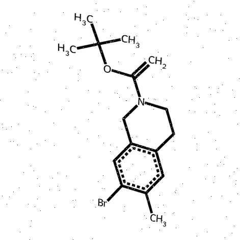 C=C(OC(C)(C)C)N1CCc2cc(C)c(Br)cc2C1